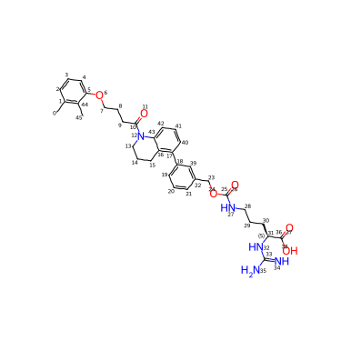 Cc1cccc(OCCCC(=O)N2CCCc3c(-c4cccc(COC(=O)NCCC[C@H](NC(=N)N)C(=O)O)c4)cccc32)c1C